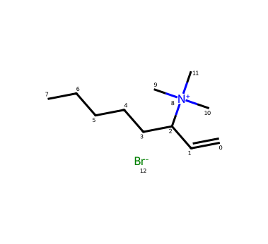 C=CC(CCCCC)[N+](C)(C)C.[Br-]